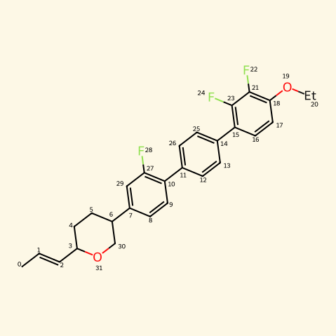 C/C=C/C1CCC(c2ccc(-c3ccc(-c4ccc(OCC)c(F)c4F)cc3)c(F)c2)CO1